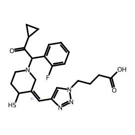 O=C(O)CCCn1cc(/C=C2\CN(C(C(=O)C3CC3)c3ccccc3F)CCC2S)nn1